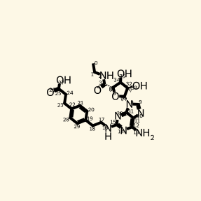 CCNC(=O)[C@H]1O[C@@H](n2cnc3c(N)nc(NCCc4ccc(CCC(=O)O)cc4)nc32)[C@H](O)C1O